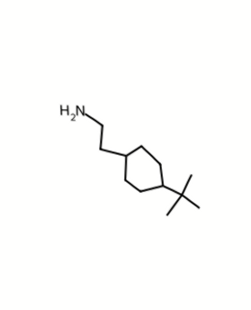 CC(C)(C)C1CCC(CCN)CC1